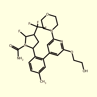 Cc1ccc(C2CC(C(F)(F)F)C(F)N2C(N)=O)c(-c2cc(OCCO)nc(N3CCOCC3)c2)c1